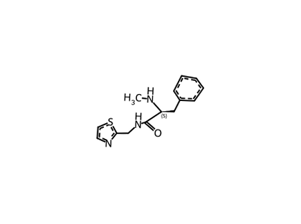 CN[C@@H](Cc1ccccc1)C(=O)NCc1nccs1